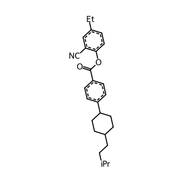 CCc1ccc(OC(=O)c2ccc(C3CCC(CCC(C)C)CC3)cc2)c(C#N)c1